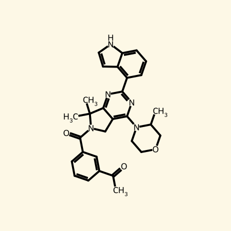 CC(=O)c1cccc(C(=O)N2Cc3c(N4CCOCC4C)nc(-c4cccc5[nH]ccc45)nc3C2(C)C)c1